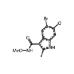 CONC(=O)c1c(C)[nH]c2cc(Cl)c(Br)cc12